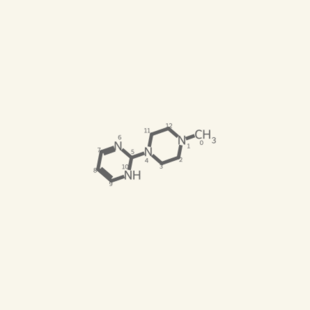 CN1CCN(C2N=CC=CN2)CC1